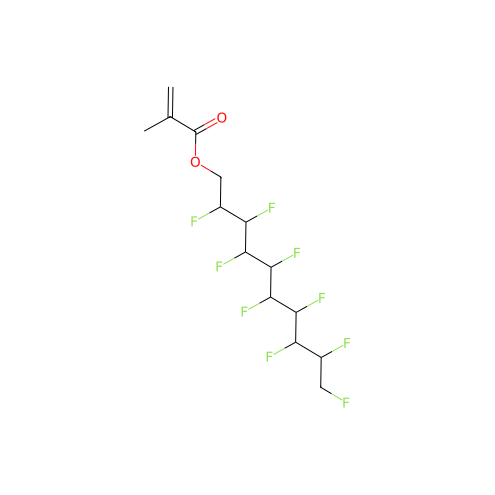 C=C(C)C(=O)OCC(F)C(F)C(F)C(F)C(F)C(F)C(F)C(F)CF